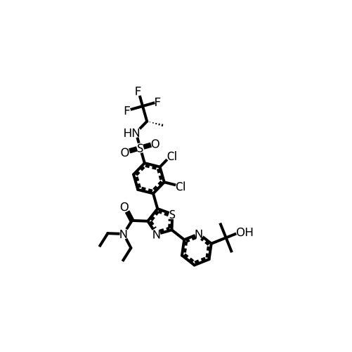 CCN(CC)C(=O)c1nc(-c2cccc(C(C)(C)O)n2)sc1-c1ccc(S(=O)(=O)N[C@@H](C)C(F)(F)F)c(Cl)c1Cl